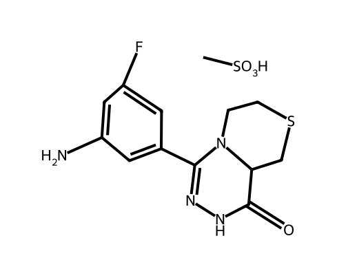 CS(=O)(=O)O.Nc1cc(F)cc(C2=NNC(=O)C3CSCCN23)c1